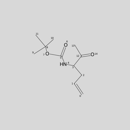 C=CCC(NC(=O)OC(C)(C)C)C(C)=O